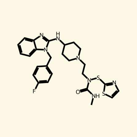 CNC(=O)N(CCN1CCC(Nc2nc3ccccc3n2Cc2ccc(F)cc2)CC1)Sc1nccs1